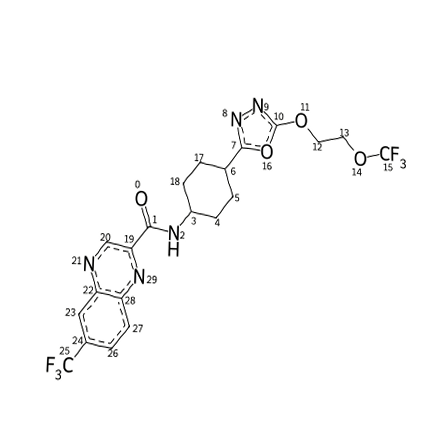 O=C(NC1CCC(c2nnc(OCCOC(F)(F)F)o2)CC1)c1cnc2cc(C(F)(F)F)ccc2n1